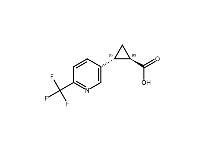 O=C(O)[C@@H]1C[C@H]1c1ccc(C(F)(F)F)nc1